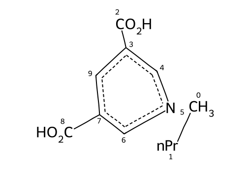 CCCC.O=C(O)c1cncc(C(=O)O)c1